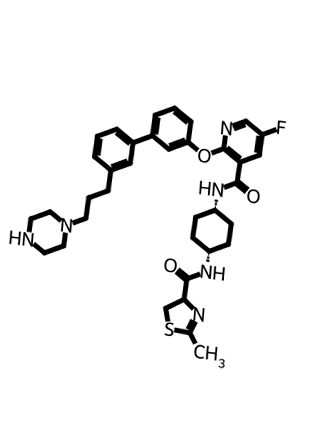 CC1=NC(C(=O)N[C@H]2CC[C@@H](NC(=O)c3cc(F)cnc3Oc3cccc(-c4cccc(CCCN5CCNCC5)c4)c3)CC2)CS1